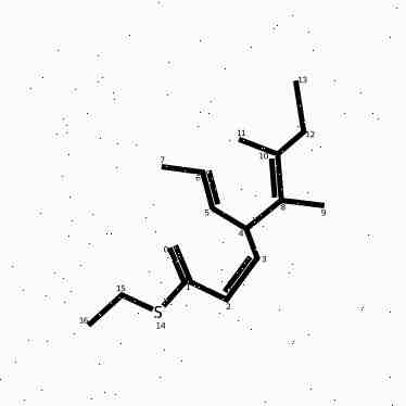 C=C(/C=C\C(C=CC)/C(C)=C(\C)CC)SCC